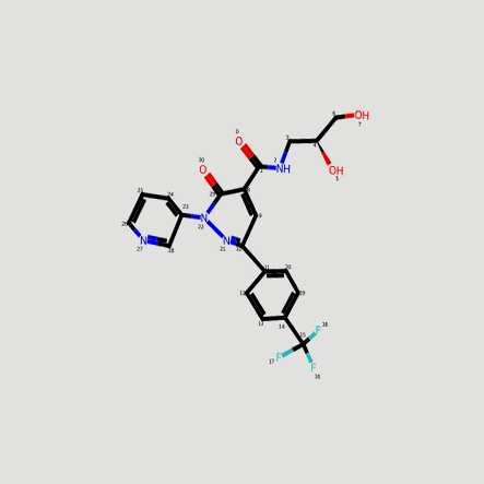 O=C(NC[C@H](O)CO)c1cc(-c2ccc(C(F)(F)F)cc2)nn(-c2cccnc2)c1=O